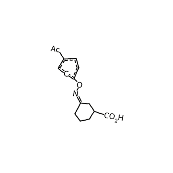 CC(=O)c1ccc(ON=C2CCCC(C(=O)O)C2)cc1